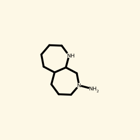 NN1CCCC2CCCCNC2C1